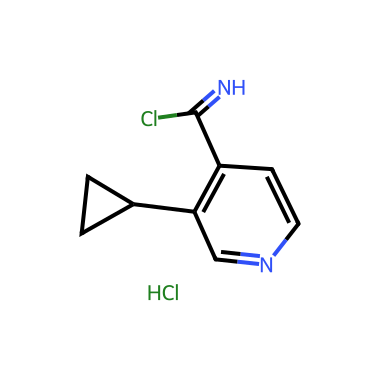 Cl.N=C(Cl)c1ccncc1C1CC1